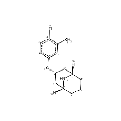 Cc1cc(O[C@H]2C[C@H]3CCC[C@@H](C2)N3)ccc1Cl